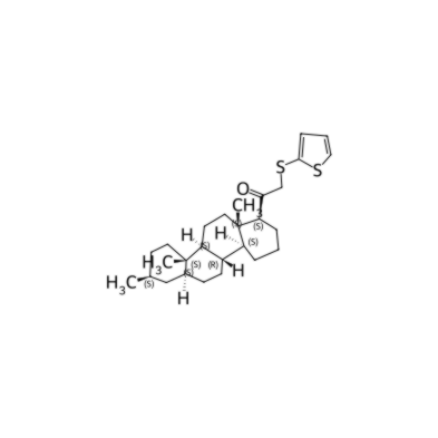 C[C@H]1CC[C@@]2(C)[C@@H](CC[C@@H]3[C@@H]2CC[C@]2(C)[C@@H](C(=O)CSc4cccs4)CCC[C@@H]32)C1